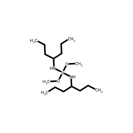 CCCC(CCC)N[Si](NC(CCC)CCC)(OC)OC